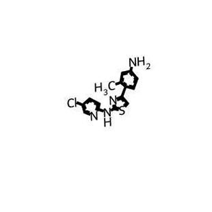 Cc1cc(N)ccc1-c1csc(Nc2ccc(Cl)cn2)n1